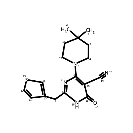 CC1(C)CCN(c2nc(Cc3ccsc3)[nH]c(=O)c2C#N)CC1